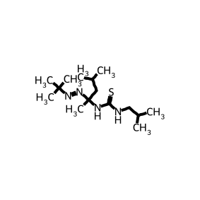 CC(C)CNC(=S)NC(C)(CC(C)C)/N=N/C(C)(C)C